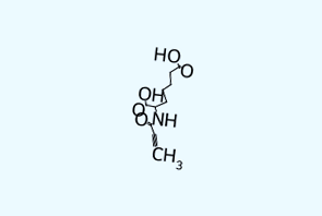 CC#CC(=O)NC(CCCCC(=O)O)C(=O)O